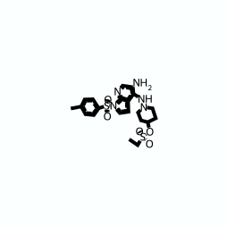 CCS(=O)(=O)OC1CCN(Nc2c(N)cnc3c2ccn3S(=O)(=O)c2ccc(C)cc2)CC1